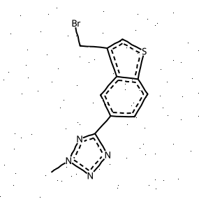 Cn1nnc(-c2ccc3scc(CBr)c3c2)n1